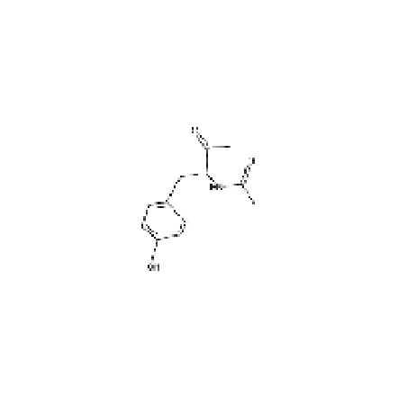 CC(=O)NC(Cc1ccc(O)cc1)C(C)=O